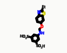 CCc1nc2ccc(OCNc3cc(S(=O)(=O)O)cc(S(=O)(=O)O)c3)cc2s1